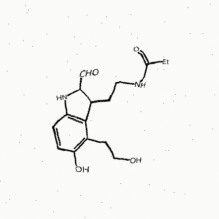 CCC(=O)NCCC1c2c(ccc(O)c2CCO)NC1C=O